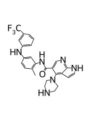 Cc1ccc(Nc2cccc(C(F)(F)F)c2)cc1NC(=O)c1cnc2[nH]ccc2c1N1CCNCC1